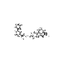 N#Cc1c(N2CCN(CCCCNc3cc(-c4ccccc4)ccn3)CC2)cccc1C(F)(F)F